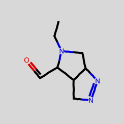 CCN1CC2N=NCC2C1C=O